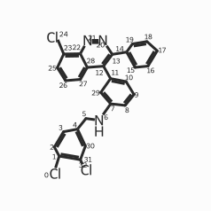 Clc1ccc(CNc2cccc(-c3c(-c4ccccc4)nnc4c(Cl)cccc34)c2)cc1Cl